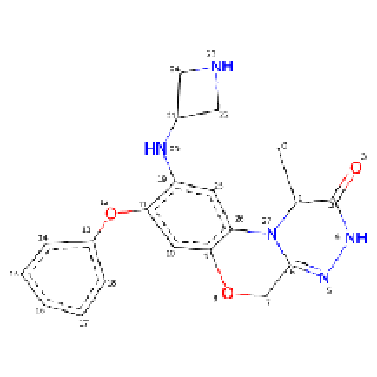 CC1C(=O)NN=C2COc3cc(Oc4ccccc4)c(NC4CNC4)cc3N21